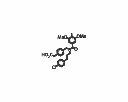 COc1cc(C(=O)N(CCCc2ccc(Cl)cc2)Cc2ccc(CC(=O)O)cc2)cc(OC)c1C